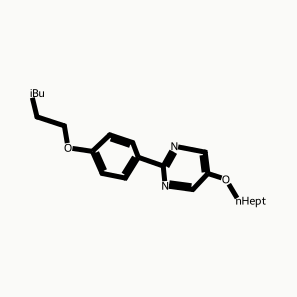 CCCCCCCOc1cnc(-c2ccc(OCCC(C)CC)cc2)nc1